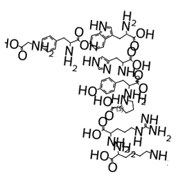 N=C(N)NCCCC(N)C(=O)O.NC(Cc1c[nH]c2ccccc12)C(=O)O.NC(Cc1c[nH]cn1)C(=O)O.NC(Cc1ccc(O)cc1)C(=O)O.NC(Cc1ccccc1)C(=O)O.NCC(=O)O.NCCCCC(N)C(=O)O.O=C(O)[C@@H]1CCCN1